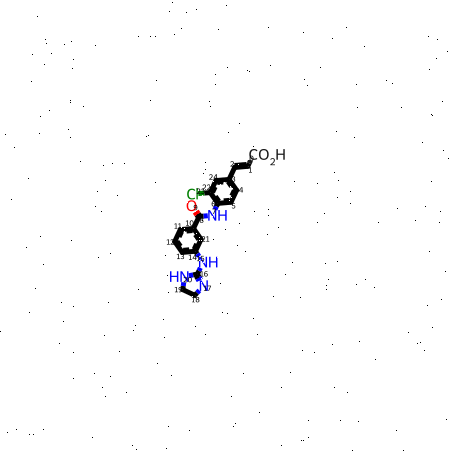 O=C(O)/C=C/c1ccc(NC(=O)c2cccc(NC3=NCCN3)c2)c(Cl)c1